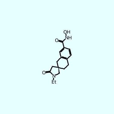 CCN1C[C@@]2(CCc3ccc(C(=O)NO)cc3C2)CC1=O